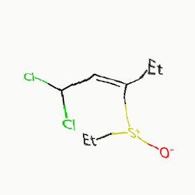 [CH2]CC(=CC(Cl)Cl)[S+]([O-])CC